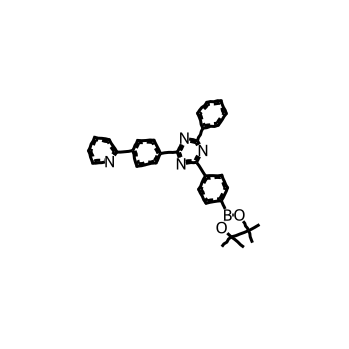 CC1(C)OB(c2ccc(-c3nc(-c4ccccc4)nc(-c4ccc(-c5ccccn5)cc4)n3)cc2)OC1(C)C